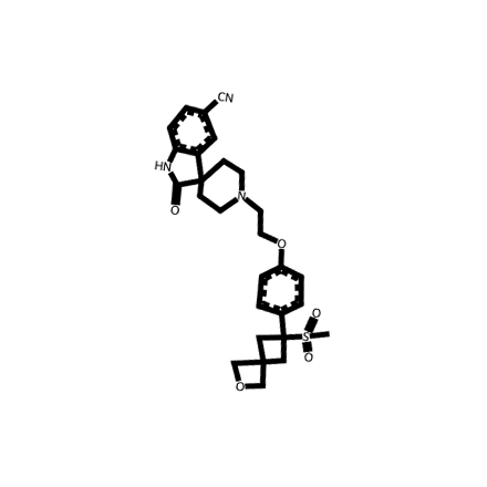 CS(=O)(=O)C1(c2ccc(OCCN3CCC4(CC3)C(=O)Nc3ccc(C#N)cc34)cc2)CC2(COC2)C1